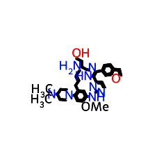 COc1cc(N2CCC(N(C)C)CC2)c(CC=CCN)cc1Nc1nccc(-c2[nH]c(CCCO)nc2-c2ccc3ccoc3c2)n1